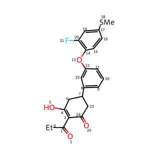 CCC(=O)C1=C(O)CC(c2cccc(Oc3ccc(SC)cc3F)c2)CC1=O